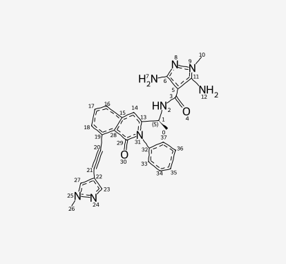 C[C@H](NC(=O)c1c(N)nn(C)c1N)c1cc2cccc(C#Cc3cnn(C)c3)c2c(=O)n1-c1ccccc1